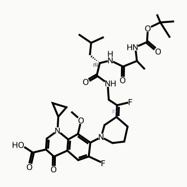 COc1c(N2CCC/C(=C(\F)CNC(=O)[C@H](CC(C)C)NC(=O)C(C)NC(=O)OC(C)(C)C)C2)c(F)cc2c(=O)c(C(=O)O)cn(C3CC3)c12